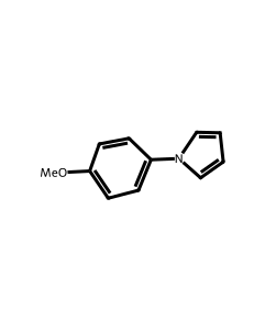 [CH2]Oc1ccc(-n2cccc2)cc1